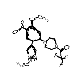 COc1cc(N2CCN(C(=O)C(F)(F)F)CC2)c(-c2cnn(C)c2)cc1[N+](=O)[O-]